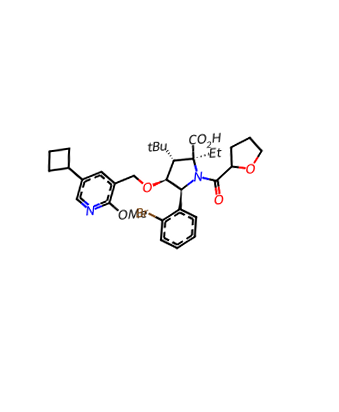 CC[C@@]1(C(=O)O)[C@@H](C(C)(C)C)[C@H](OCc2cc(C3CCC3)cnc2OC)[C@H](c2ccccc2Br)N1C(=O)C1CCCO1